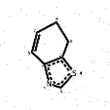 [c]1nc2c(s1)CCC=C2